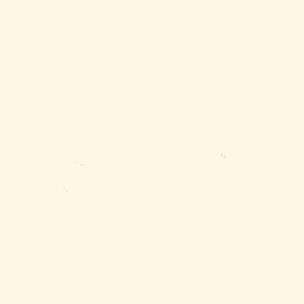 CC(=O)N1CCN(CCOC2CCC(C)N(C(=O)c3ccc(NC(=O)c4ccccc4C)cc3)c3ccc(Cl)cc32)CC1